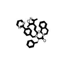 Cc1noc(C)c1/C=C/C(=O)N(Cc1ccc(-c2ncccn2)cc1)[C@@H](Cc1ccccc1)C(=O)N1CCc2ccccc2C1